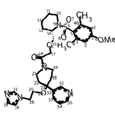 COc1cc(C)c(S(=O)(=O)N2CCCC[C@H]2COCC(=O)N2CCC(OCCn3ccnc3)(c3cccnc3)CC2)c(C)c1